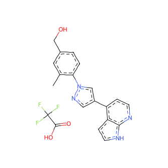 Cc1cc(CO)ccc1-n1cc(-c2ccnc3[nH]ccc23)cn1.O=C(O)C(F)(F)F